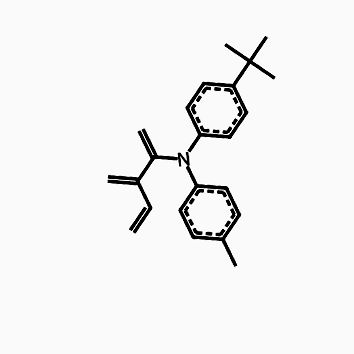 C=CC(=C)C(=C)N(c1ccc(C)cc1)c1ccc(C(C)(C)C)cc1